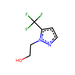 OCCn1n[c]cc1C(F)(F)F